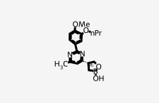 CCCOc1cc(-c2nc(C)cc([C@@H]3COB(O)C3)n2)ccc1OC